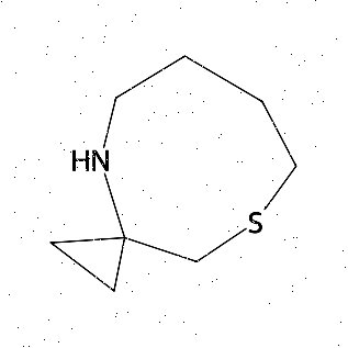 C1CCSCC2(CC2)NC1